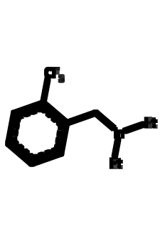 C[CH2][In]([CH2]C)[CH2]c1ccccc1C(F)(F)F